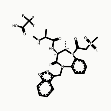 CNC(C)C(=O)N[C@@H]1C(=O)N(Cc2noc3ccccc23)c2ccccc2N(C(=O)CS(C)(=O)=O)[C@H]1C.O=C(O)C(F)(F)F